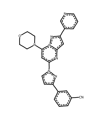 N#Cc1cccc(-c2ccn(-c3cc(N4CCOCC4)n4nc(-c5cccnc5)cc4n3)n2)c1